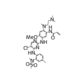 C=CC(=O)Nc1cc(Nc2ncc(Cl)c(Nc3ccc(C)cc3N(C)S(C)(=O)=O)n2)c(OC)cc1N(C)CCN(C)C